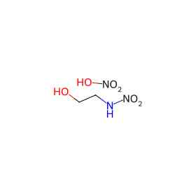 O=[N+]([O-])NCCO.O=[N+]([O-])O